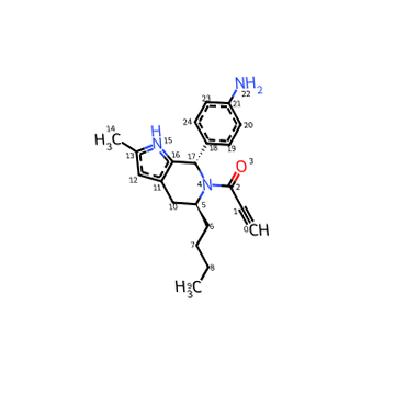 C#CC(=O)N1[C@@H](CCCC)Cc2cc(C)[nH]c2[C@@H]1c1ccc(N)cc1